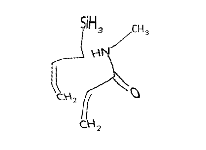 C=CC(=O)NC.C=CC[SiH3]